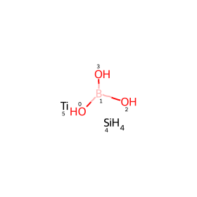 OB(O)O.[SiH4].[Ti]